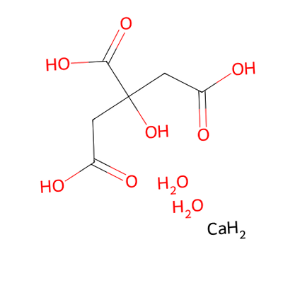 O.O.O=C(O)CC(O)(CC(=O)O)C(=O)O.[CaH2]